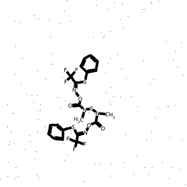 CN(SN(C)C(=O)O/N=C(\Sc1ccccc1)C(F)(F)F)C(=O)O/N=C(\Sc1ccccc1)C(F)(F)F